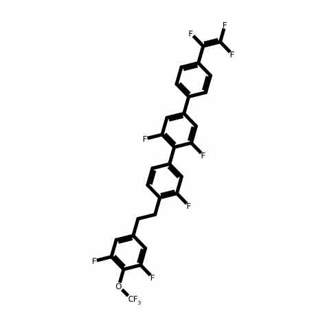 FC(F)=C(F)c1ccc(-c2cc(F)c(-c3ccc(CCc4cc(F)c(OC(F)(F)F)c(F)c4)c(F)c3)c(F)c2)cc1